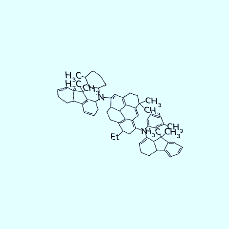 CCC1CC(N(C2=CCCC3c4ccccc4C(C)(C)C23)c2cccc(C)c2)=C2C=C3C4=C(C=C(N(C5CCCC(C)C5)C5CC=CC6=C5C(C)(C)C5C=CCCC65)C5CCC1=C2C45)CCC3(C)C